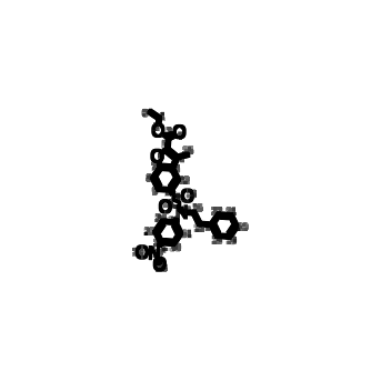 CCOC(=O)c1oc2ccc(S(=O)(=O)N(CCc3ccccc3)c3ccc([N+](=O)[O-])cc3)cc2c1C